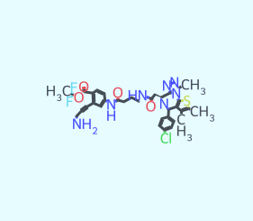 Cc1sc2c(c1C)C(c1ccc(Cl)cc1)=N[C@@H](CC(=O)NCCCC(=O)Nc1ccc(C(=O)OC(C)(F)F)c(C#CCN)c1)c1nnc(C)n1-2